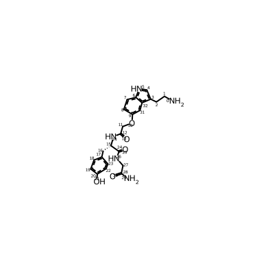 NCCc1c[nH]c2ccc(OCC(=O)N[C@@H](Cc3ccc(O)cc3)C(=O)NCC(N)=O)cc12